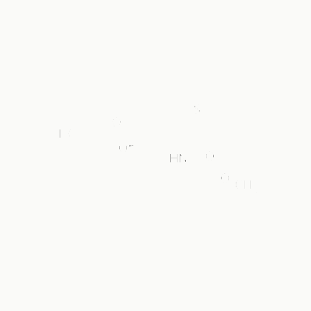 CCCC(=O)O[C@H]1CC[C@@](CNC(=O)c2ccccc2OC)(c2ccsc2)CC1